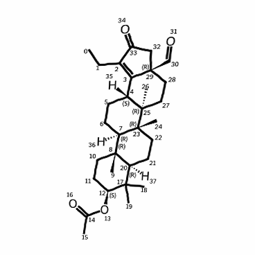 CCC1=C2[C@H]3CC[C@@H]4[C@@]5(C)CC[C@H](OC(C)=O)C(C)(C)[C@@H]5CC[C@@]4(C)[C@]3(C)CC[C@@]2(C=O)CC1=O